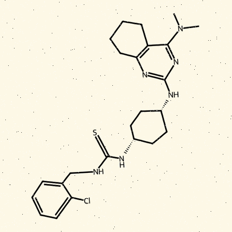 CN(C)c1nc(N[C@H]2CC[C@@H](NC(=S)NCc3ccccc3Cl)CC2)nc2c1CCCC2